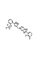 FC1=C(F)C(c2nc3ccn(Cc4cc(-c5ccccc5OC(F)(F)F)no4)cc-3n2)=CCC1